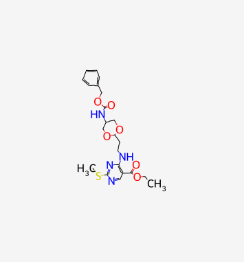 CCOC(=O)c1cnc(SC)nc1NCCC1OCC(NC(=O)OCc2ccccc2)CO1